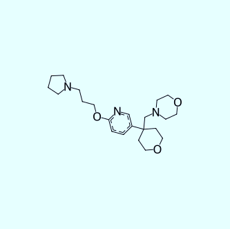 c1cc(OCCCN2CCCC2)ncc1C1(CN2CCOCC2)CCOCC1